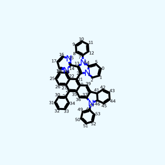 C1=CCN2C(=C1)N(c1ccccc1)C(c1ncccn1)=C2c1c2ccccc2c(-c2ccccc2)c2cc3c(cc12)C1C=CC=CC1N3c1ccccc1